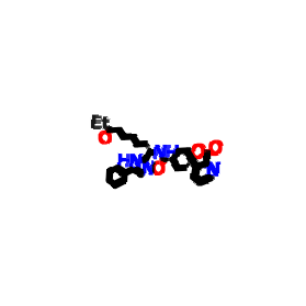 CCC(=O)CCCCC[C@H](NC(=O)[C@H]1CC[C@]2(CC1)OC(=O)c1ncccc12)c1ncc(-c2ccccc2)[nH]1